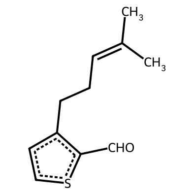 CC(C)=CCCc1ccsc1C=O